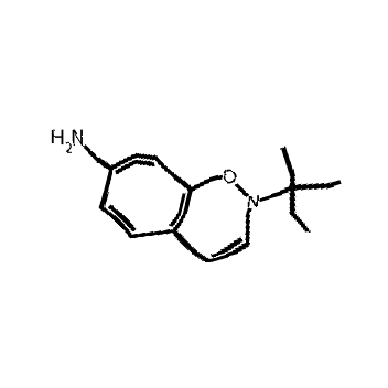 CC(C)(C)N1C=Cc2ccc(N)cc2O1